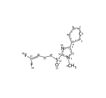 Cn1cc(-c2ccccc2)nc1[S+]([O-])CCC=C(F)F